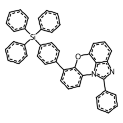 c1ccc(-c2nc3cccc4c3n2-c2cccc(-c3ccc([Si](c5ccccc5)(c5ccccc5)c5ccccc5)cc3)c2O4)cc1